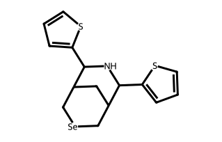 c1csc(C2NC(c3cccs3)C3C[Se]CC2C3)c1